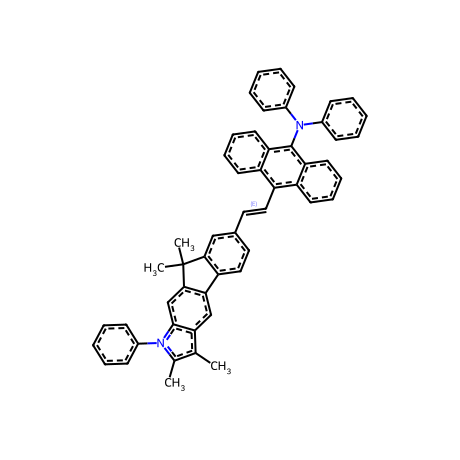 Cc1c(C)n(-c2ccccc2)c2cc3c(cc12)-c1ccc(/C=C/c2c4ccccc4c(N(c4ccccc4)c4ccccc4)c4ccccc24)cc1C3(C)C